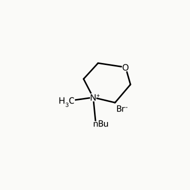 CCCC[N+]1(C)CCOCC1.[Br-]